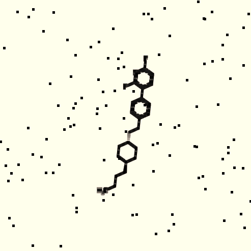 CCCC[C@H]1CC[C@H](CCc2ccc(-c3ccc(F)nc3F)cc2)CC1